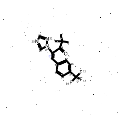 CC(C)(C)C(=O)/C(=C\c1ccc(C(F)(F)F)cc1)n1cncn1